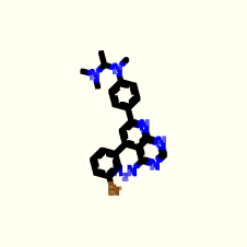 CC(N(C)C)N(C)c1ccc(-c2cc(-c3cccc(Br)c3)c3c(N)ncnc3n2)cc1